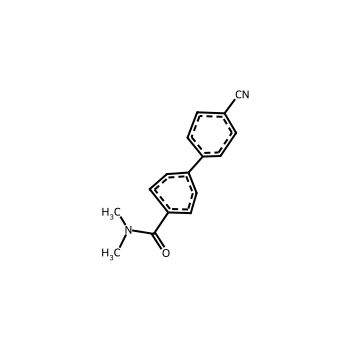 CN(C)C(=O)c1ccc(-c2ccc(C#N)cc2)cc1